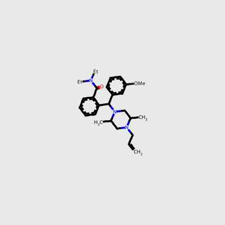 C=CCN1CC(C)N(C(c2cccc(OC)c2)c2ccccc2C(=O)N(CC)CC)CC1C